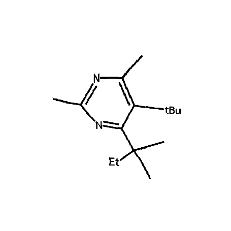 CCC(C)(C)c1nc(C)nc(C)c1C(C)(C)C